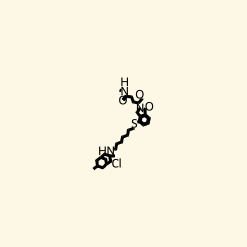 CNC(=O)CCC(C=O)N1Cc2c(SCCCCCCCNC3(C)CC4CC(C)CC(C4)C3Cl)cccc2C1=O